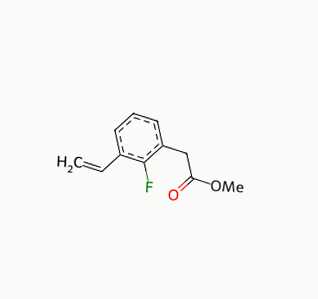 C=Cc1cccc(CC(=O)OC)c1F